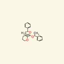 CC(O[SiH](OC(C)c1ccccc1)C1CCCCO1)c1ccccc1